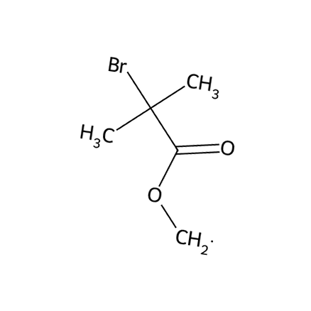 [CH2]OC(=O)C(C)(C)Br